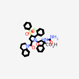 NC(=O)NC(CC(=O)N1C(C(=O)N2CCCc3ccccc32)CC(S(=O)(=O)c2ccccc2)C1c1ccccc1F)(C(=O)O)c1ccccc1